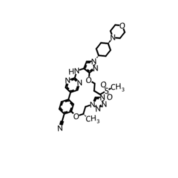 C[C@@H](Cn1cnnn1)Oc1cc(-c2cnc(Nc3cn([C@H]4CC[C@H](N5CCOCC5)CC4)nc3OCCCS(C)(=O)=O)nc2)ccc1C#N